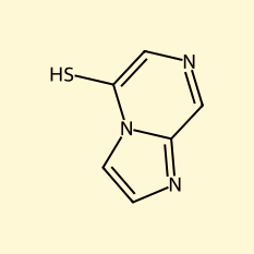 Sc1cncc2nccn12